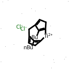 CCCCC1=[C]2CC=C1CC1=CC[C](=C1CCCC)[Ti+2]2.[Cl-].[Cl-]